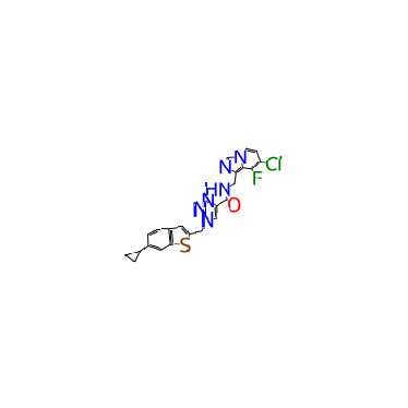 O=C(NCc1ncn2ccc(Cl)c(F)c12)c1cn(Cc2cc3ccc(C4CC4)cc3s2)nn1